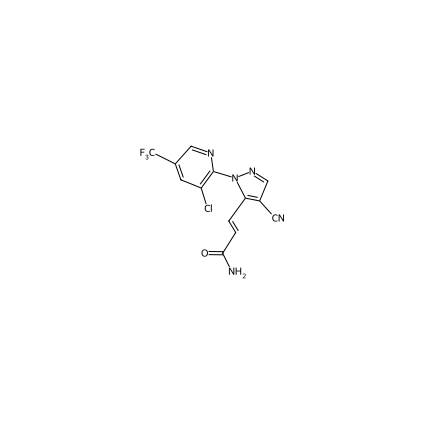 N#Cc1cnn(-c2ncc(C(F)(F)F)cc2Cl)c1/C=C/C(N)=O